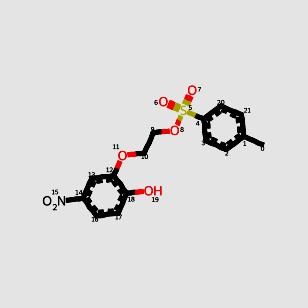 Cc1ccc(S(=O)(=O)OCCOc2cc([N+](=O)[O-])ccc2O)cc1